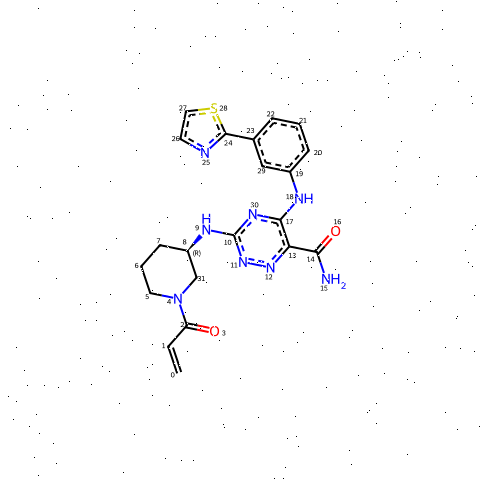 C=CC(=O)N1CCC[C@@H](Nc2nnc(C(N)=O)c(Nc3cccc(-c4nccs4)c3)n2)C1